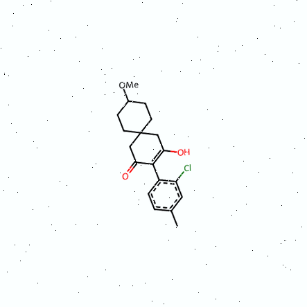 COC1CCC2(CC1)CC(=O)C(c1ccc(C)cc1Cl)=C(O)C2